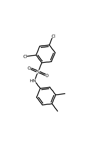 Cc1ccc(NS(=O)(=O)c2ccc(Cl)cc2Cl)cc1C